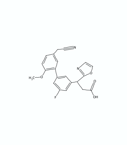 COc1ccc(CC#N)cc1-c1cc(F)cc(C(CC(=O)O)c2ncco2)c1